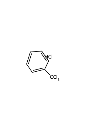 Cl.ClC(Cl)(Cl)c1ccccc1